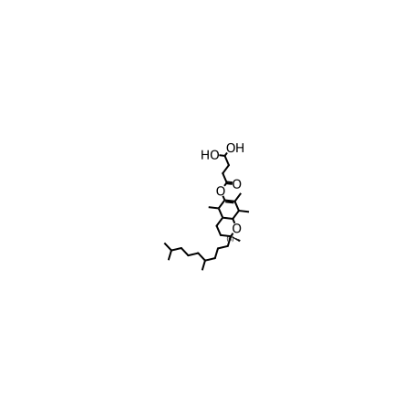 CC1=C(OC(=O)CCC(O)O)C(C)C2CC[C@@](C)(CCCC(C)CCCC(C)C)OC2C1C